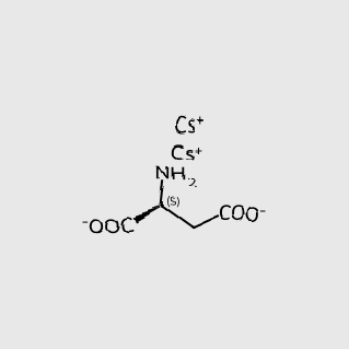 N[C@@H](CC(=O)[O-])C(=O)[O-].[Cs+].[Cs+]